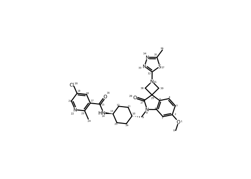 COc1ccc2c(c1)N(C[C@H]1CC[C@H](NC(=O)c3cc(Cl)cnc3C)CC1)C(=O)C21CN(c2nnc(C)s2)C1